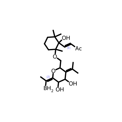 B/C(C)=C1/OC(COC2(C)CCCC(C)(C)C2(O)/C=C/C(C)=O)C(=C(C)C)C(O)C1O